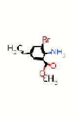 C=Cc1cc(Br)c(N)c(C(=O)OC)c1